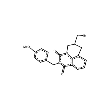 COc1ccc(Cn2c(=O)c3cccc4c3n(c2=O)CC(CBr)C4)cc1